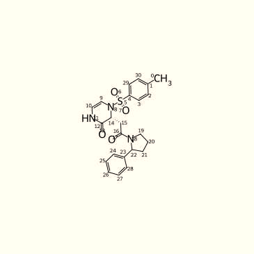 Cc1ccc(S(=O)(=O)N2C=CNC(=O)[C@H]2CC(=O)N2CCCC2c2ccccc2)cc1